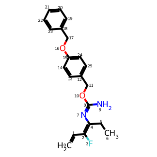 C=C/C(F)=C(CC)\N=C(/N)OCc1ccc(OCc2ccccc2)cc1